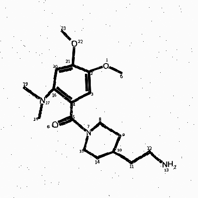 COc1cc(C(=O)N2CCC(CCN)CC2)c(N(C)C)cc1OC